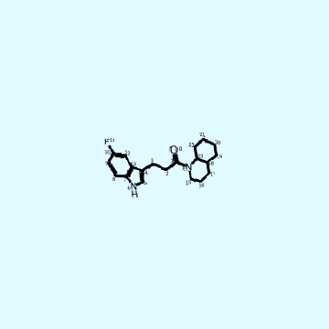 O=C(CCc1c[nH]c2ccc(F)cc12)N1CCCC2CCCCC21